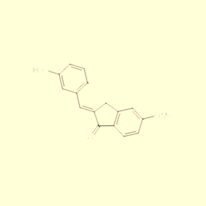 COc1ccc2c(c1)CC(=Cc1cccc(C)c1)C2=O